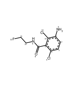 Nc1ccc(Cl)c(C(=O)NCCF)c1Cl